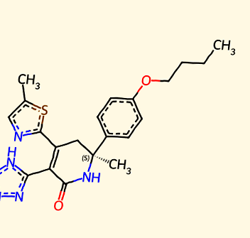 CCCCOc1ccc([C@]2(C)CC(c3ncc(C)s3)=C(c3nnn[nH]3)C(=O)N2)cc1